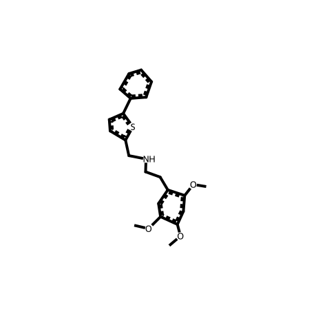 COc1cc(OC)c(OC)cc1CCNCc1ccc(-c2ccccc2)s1